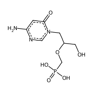 Nc1cc(=O)n(CC(CO)OCP(=O)(O)O)cn1